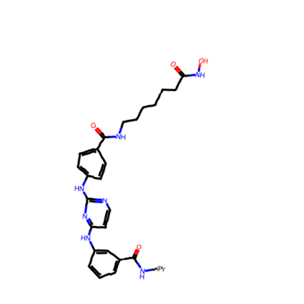 CC(C)NC(=O)c1cccc(Nc2ccnc(Nc3ccc(C(=O)NCCCCCCC(=O)NO)cc3)n2)c1